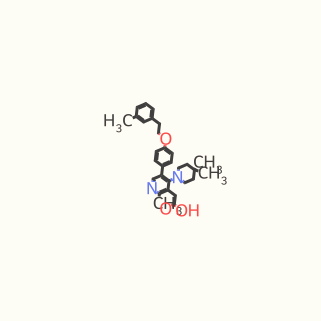 Cc1cccc(CCOc2ccc(-c3cnc(C)c(CC(=O)O)c3N3CCC(C)(C)CC3)cc2)c1